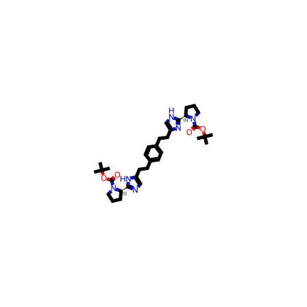 CC(C)(C)OC(=O)N1CCC[C@H]1c1nc(CCc2ccc(CCc3cnc([C@@H]4CCCN4C(=O)OC(C)(C)C)[nH]3)cc2)c[nH]1